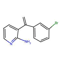 C=C(c1cccc(Br)c1)c1cccnc1N